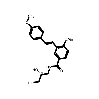 COc1ccc(C(=O)NC[C@@H](O)CO)cc1C=Cc1ccc(OC(F)(F)F)cc1